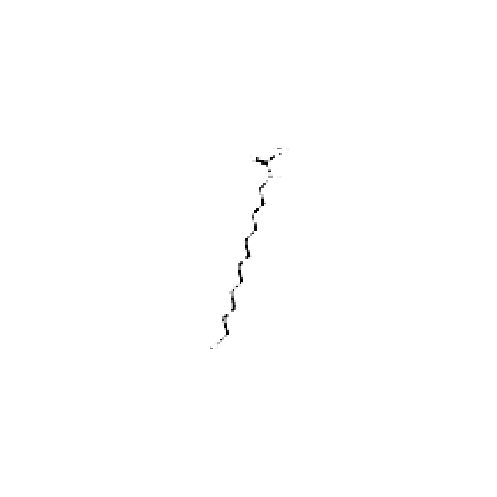 S=C(S)NCCCCCCCCCCCCCl